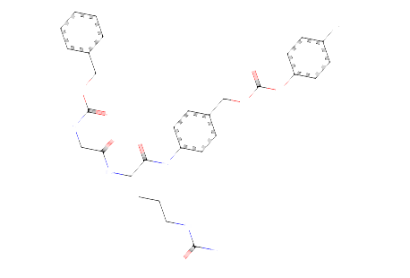 CC(C)[C@H](NC(=O)OCc1ccccc1)C(=O)N[C@@H](CCCNC(N)=O)C(=O)Nc1ccc(COC(=O)Oc2ccc([N+](=O)[O-])cc2)cc1